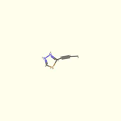 CC#Cc1nncs1